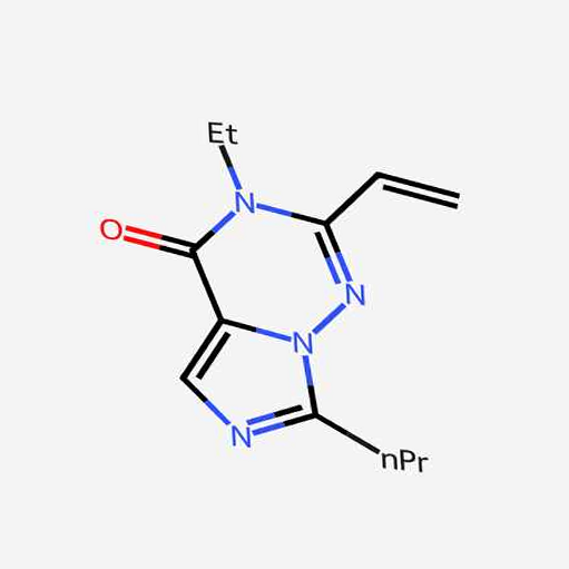 C=Cc1nn2c(CCC)ncc2c(=O)n1CC